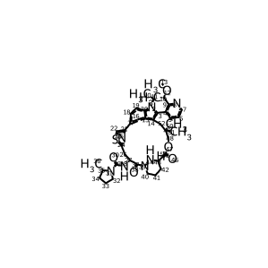 CCn1c(-c2cccnc2[C@H](C)OC)c2c3cc(ccc31)-c1csc(n1)C[C@H](NC(=O)N1CCC[C@H]1C)C(=O)N1CCC[C@H](N1)C(=O)OCC(C)(C)C2